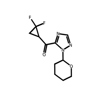 O=C(c1ncnn1C1CCCCO1)C1CC1(F)F